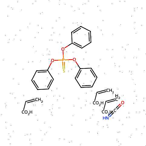 C=CC(=O)O.C=CC(=O)O.C=CC(=O)O.N=C=O.S=P(Oc1ccccc1)(Oc1ccccc1)Oc1ccccc1